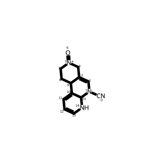 N#CN1C=C2C[N+](=O)CCC2C2=CC=CNC21